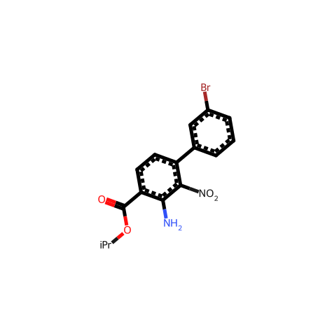 CC(C)OC(=O)c1ccc(-c2cccc(Br)c2)c([N+](=O)[O-])c1N